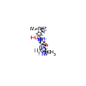 COc1ncccc1-c1ccc(O)c(-c2nc3ccc(C(=O)NCc4c(C)n[nH]c4C)cc3[nH]2)c1